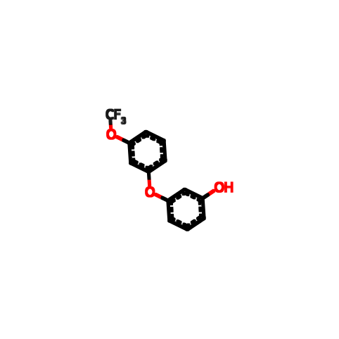 Oc1cccc(Oc2cccc(OC(F)(F)F)c2)c1